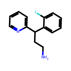 NCCC(c1ccccn1)c1ccccc1F